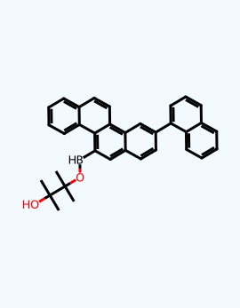 CC(C)(O)C(C)(C)OBc1cc2ccc(-c3cccc4ccccc34)cc2c2ccc3ccccc3c12